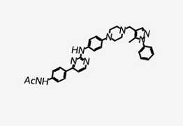 CC(=O)Nc1ccc(-c2ccnc(Nc3ccc(N4CCN(Cc5cnn(-c6ccccc6)c5C)CC4)cc3)n2)cc1